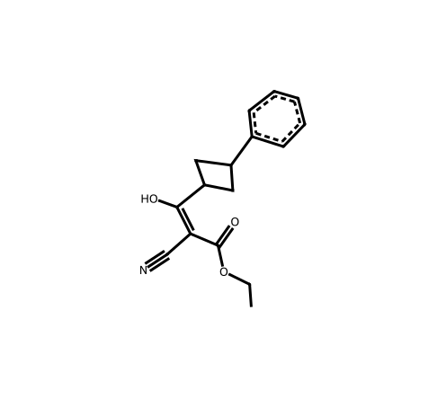 CCOC(=O)/C(C#N)=C(/O)C1CC(c2ccccc2)C1